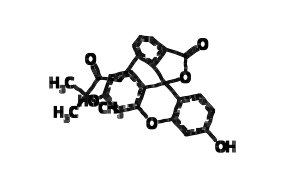 CC(C)(C)C(=O)Cc1cccc2c1C1(OC2=O)c2ccc(O)cc2Oc2cc(O)ccc21